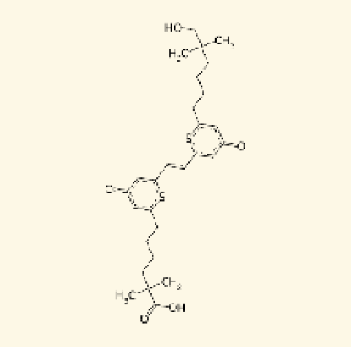 CC(C)(CO)CCCCc1cc(=O)cc(C=Cc2cc(=O)cc(CCCCC(C)(C)C(=O)O)s2)s1